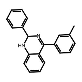 Cc1cccc(C2=NC(c3ccccc3)Nc3ccccc32)c1